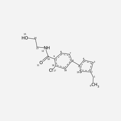 CCc1ccc(-c2ccc(C(=O)NCCO)c(Cl)c2)s1